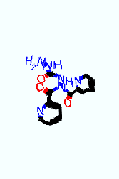 NNC(=O)NN(C(=O)c1ccccn1)C(=O)c1ccccn1